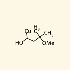 COC(C)(C)C[CH](O)[Cu]